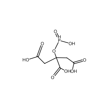 O=C(O)CC(CC(=O)O)(O[PH](=O)O)C(=O)O